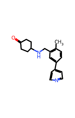 Cc1ccc(-c2ccncc2)cc1CNC1CCC(=O)CC1